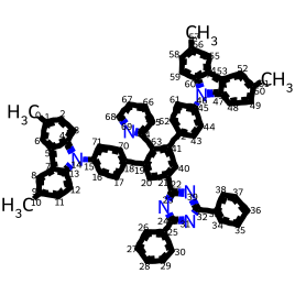 Cc1ccc2c(c1)c1cc(C)ccc1n2-c1ccc(-c2cc(-c3nc(-c4ccccc4)nc(-c4ccccc4)n3)cc(-c3ccc(-n4c5ccc(C)cc5c5cc(C)ccc54)cc3)c2-c2ccccn2)cc1